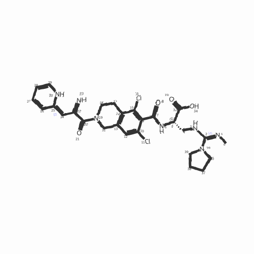 C/N=C(/NC[C@H](NC(=O)c1c(Cl)cc2c(c1Cl)CCN(C(=O)C(=N)/C=C1/C=CC=CN1)C2)C(=O)O)N1CCCC1